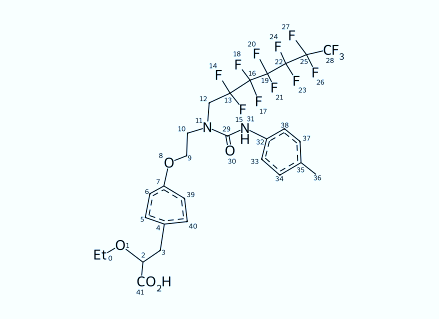 CCOC(Cc1ccc(OCCN(CC(F)(F)C(F)(F)C(F)(F)C(F)(F)C(F)(F)C(F)(F)F)C(=O)Nc2ccc(C)cc2)cc1)C(=O)O